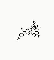 CC(C)(C)OC(=O)C[C@H](CCC(=O)[C@H]1CC[C@H](N)CC1)C(O)COc1c(F)c(F)cc(F)c1F